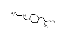 CCNCN1CCN(CC(C)C)CC1